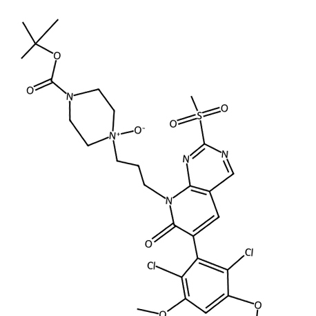 COc1cc(OC)c(Cl)c(-c2cc3cnc(S(C)(=O)=O)nc3n(CCC[N+]3([O-])CCN(C(=O)OC(C)(C)C)CC3)c2=O)c1Cl